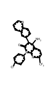 Nc1c(-c2ccc3ncccc3c2)c(=O)n(-c2ccc(Cl)cc2)c2nc(C(F)(F)F)ccc12